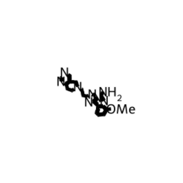 COc1cccc2c1nc(N)n1nc(CCN3CCc4ncncc4C3)nc21